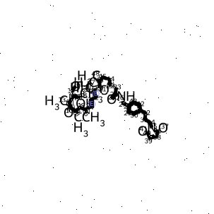 C/C(=C\C=C\[C@@H](C)C[C@@]1(C)O[C@@H]1[C@H](C)[C@@H](CO)[C@@H](C)O)[C@H]1O[C@@H](CC(=O)NCc2ccc(CCCN3C(=O)C=CC3=O)cc2)CCC1(C)C